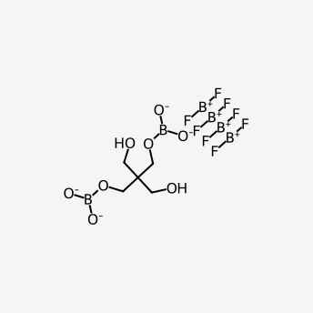 F[B+]F.F[B+]F.F[B+]F.F[B+]F.[O-]B([O-])OCC(CO)(CO)COB([O-])[O-]